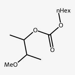 CCCCCCOC(=O)OC(C)C(C)OC